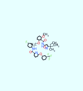 CCC(C)(CC)c1cc(NC(=O)c2c(OC)cccc2OC)on1.O=C(Nc1ccc(F)cc1)c1cccc(Oc2cccc(C(F)(F)F)c2)n1